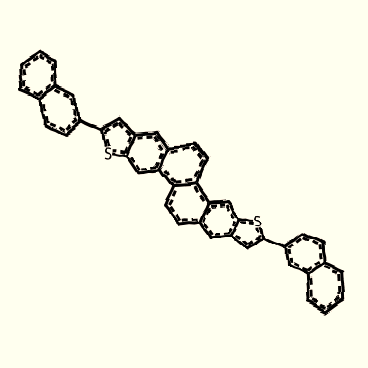 c1ccc2cc(-c3cc4cc5ccc6c7cc8sc(-c9ccc%10ccccc%10c9)cc8cc7ccc6c5cc4s3)ccc2c1